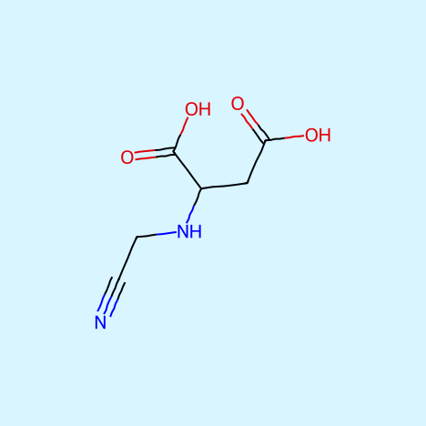 N#CCNC(CC(=O)O)C(=O)O